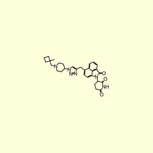 CC1(CN2CCC(n3cc(Cc4ccc5c6c(cccc46)C(=O)N5C4CCC(=O)NC4=O)nn3)CC2)CCC1